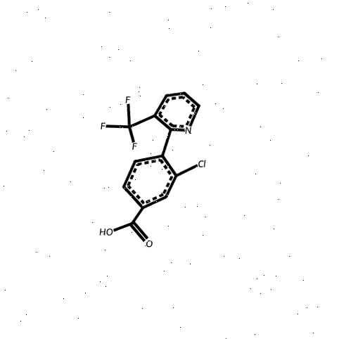 O=C(O)c1ccc(-c2ncccc2C(F)(F)F)c(Cl)c1